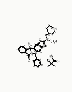 O=C(O)C(F)(F)F.O=C(O)N(CC1CCNCC1)c1nc2cc(C3(O)c4ccccc4C(=O)N3Cc3ccccc3)ccc2[nH]1